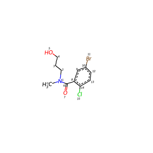 CN(CCCO)C(=O)c1cc(Br)ccc1Cl